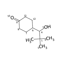 CC(C)(C)C(O)C1CCC(=O)CC1